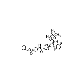 CC(C)(C)OC(=O)N[C@H]1CN(c2ncc(C(=O)NC3CCN(C(=O)OCc4ccccc4)CC3)cn2)C[C@@H]1c1cc(F)ccc1F